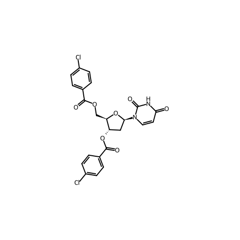 O=C(OC[C@H]1O[C@@H](n2ccc(=O)[nH]c2=O)C[C@@H]1OC(=O)c1ccc(Cl)cc1)c1ccc(Cl)cc1